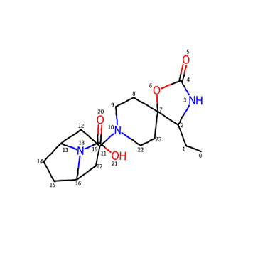 CCC1NC(=O)OC12CCN(C1CC3CCC(C1)N3C(=O)O)CC2